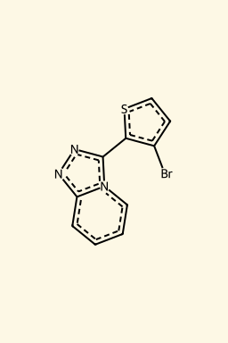 Brc1ccsc1-c1nnc2ccccn12